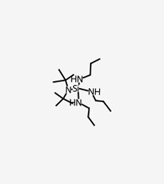 CCCN[Si](NCCC)(NCCC)N(C(C)(C)C)C(C)(C)C